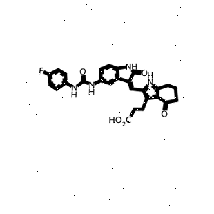 O=C(O)CCc1c(C=C2C(=O)Nc3ccc(NC(=O)Nc4ccc(F)cc4)cc32)[nH]c2c1C(=O)CCC2